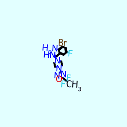 CC(F)(F)c1nc(N2CCN(C(=N)c3cc(F)cc(Br)c3N)CC2)no1